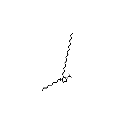 CCCCCCCCCCCCCCCCC1N(CCCCCCCC)C=CN1C(C)C